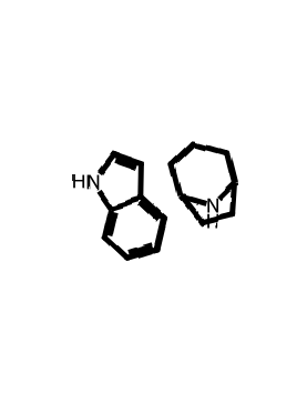 C1CC2CCC(C1)N2.c1ccc2[nH]ccc2c1